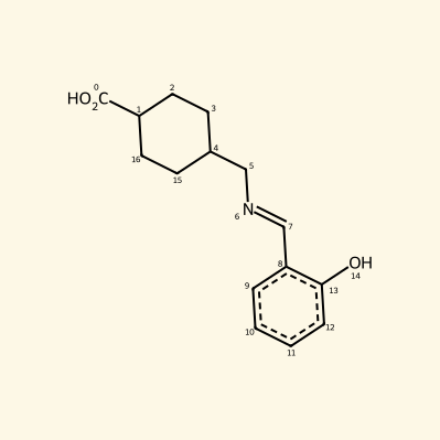 O=C(O)C1CCC(C/N=C/c2ccccc2O)CC1